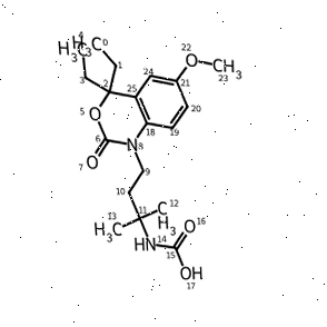 CCC1(CC)OC(=O)N(CCC(C)(C)NC(=O)O)c2ccc(OC)cc21